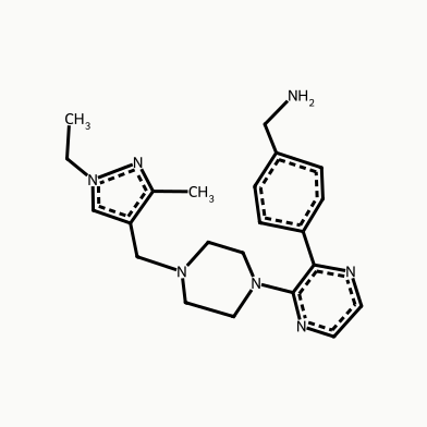 CCn1cc(CN2CCN(c3nccnc3-c3ccc(CN)cc3)CC2)c(C)n1